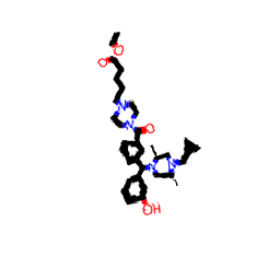 CCOC(=O)CCCCN1CCN(C(=O)c2cccc(C(c3cccc(O)c3)N3C[C@@H](C)N(CC4CC4)C[C@@H]3C)c2)CC1